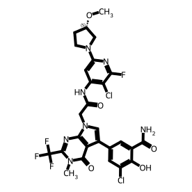 CO[C@H]1CCN(c2cc(NC(=O)Cn3cc(-c4cc(Cl)c(O)c(C(N)=O)c4)c4c(=O)n(C)c(C(F)(F)F)nc43)c(Cl)c(F)n2)C1